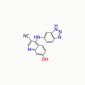 N#Cc1cnc2cc(O)ccc2c1Nc1ccc2nn[nH]c2c1